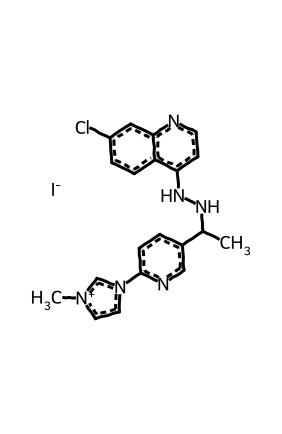 CC(NNc1ccnc2cc(Cl)ccc12)c1ccc(-n2cc[n+](C)c2)nc1.[I-]